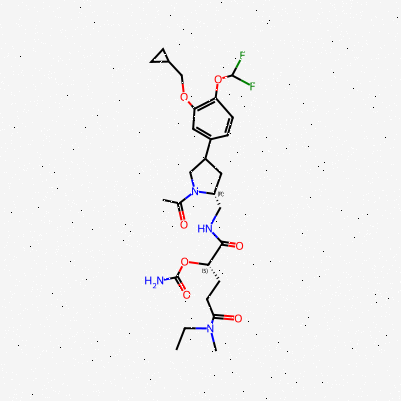 CCN(C)C(=O)CC[C@H](OC(N)=O)C(=O)NC[C@H]1CC(c2ccc(OC(F)F)c(OCC3CC3)c2)CN1C(C)=O